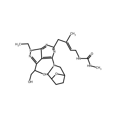 CCn1nc(C(O)CO)c2c(N3CC4CCC(C3)O4)nc(CC(C)=CCNC(=O)NC)nc21